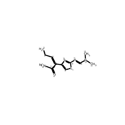 CCC=C(C(N)=O)c1csc(N=CN(C)C)n1